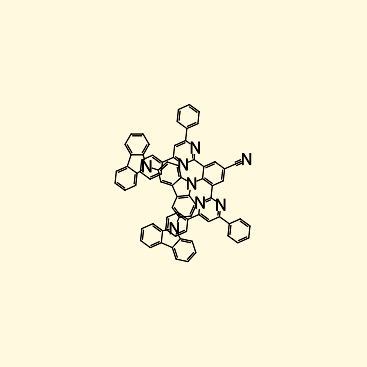 N#Cc1cc(-c2nc(-c3ccccc3)cc(-c3ccccc3)n2)c(-n2c3ccc(-n4c5ccccc5c5ccccc54)cc3c3cc(-n4c5ccccc5c5ccccc54)ccc32)c(-c2nc(-c3ccccc3)cc(-c3ccccc3)n2)c1